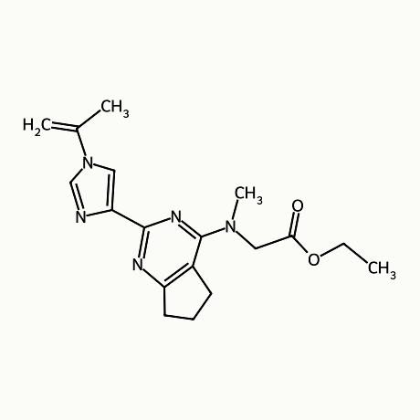 C=C(C)n1cnc(-c2nc3c(c(N(C)CC(=O)OCC)n2)CCC3)c1